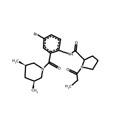 CCC(=O)N1CCCC1C(=O)Nc1ccc(Br)cc1C(=O)N1C[C@H](C)C[C@H](C)C1